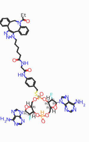 CCC(=O)N1Cc2ccccc2-c2nnn(CCCCCC(=O)NCC(=O)Nc3ccc(CS[P@@]4(=O)OC[C@H]5O[C@@H](n6cnc7c(N)ncnc76)[C@H](F)[C@@H]5O[PH](=O)OC[C@H]5O[C@@H](n6cnc7c(N)ncnc76)[C@H](F)[C@@H]5O4)cc3)c2-c2ccccc21